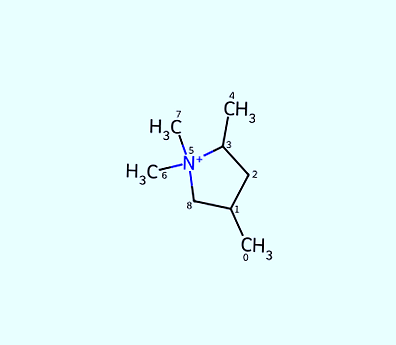 CC1CC(C)[N+](C)(C)C1